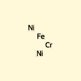 [Cr].[Fe].[Ni].[Ni]